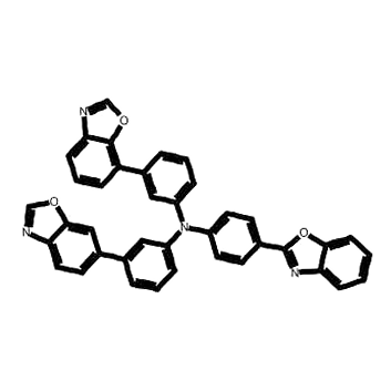 c1cc(-c2ccc3ncoc3c2)cc(N(c2ccc(-c3nc4ccccc4o3)cc2)c2cccc(-c3cccc4ncoc34)c2)c1